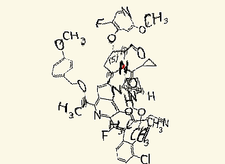 COc1ccc(CO[C@H](C)c2nc3c(F)c(-c4cccc(Cl)c4Cl)c(CCC#N)cc3c3c2cc([C@H]2C[C@H](Oc4cc(OC)ncc4F)[C@@H](C=O)N2C(=O)C2CC2)n3[C@H]2[C@@H]3C[C@H]2N(C(=O)OC(C)(C)C)C3)cc1